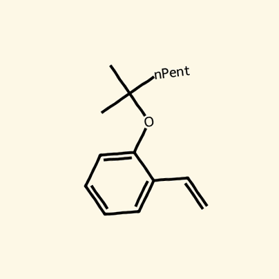 C=Cc1ccccc1OC(C)(C)CCCCC